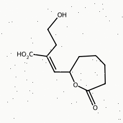 O=C1CCCCC(C=C(CCO)C(=O)O)O1